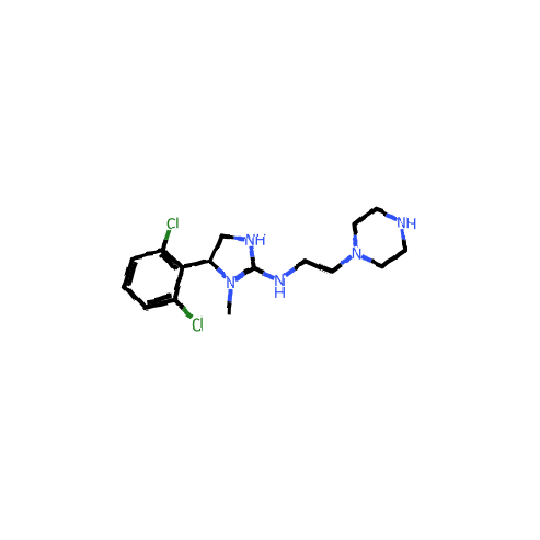 CN1C(NCCN2CCNCC2)NCC1c1c(Cl)cccc1Cl